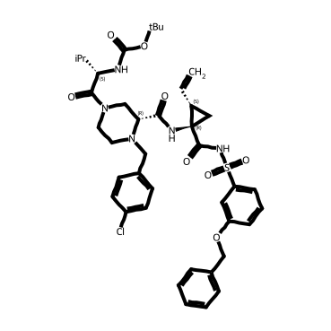 C=C[C@@H]1C[C@]1(NC(=O)[C@H]1CN(C(=O)[C@@H](NC(=O)OC(C)(C)C)C(C)C)CCN1Cc1ccc(Cl)cc1)C(=O)NS(=O)(=O)c1cccc(OCc2ccccc2)c1